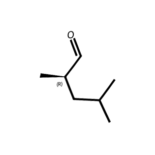 CC(C)C[C@@H](C)C=O